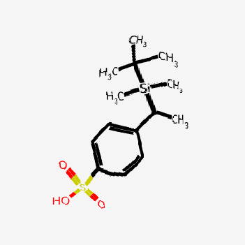 CC(c1ccc(S(=O)(=O)O)cc1)[Si](C)(C)C(C)(C)C